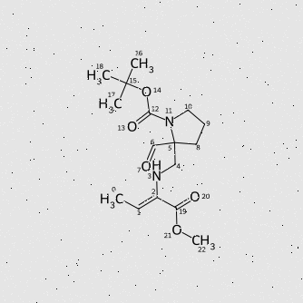 C/C=C(\NCC1(C=O)CCCN1C(=O)OC(C)(C)C)C(=O)OC